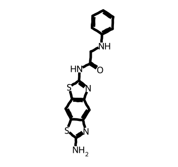 Nc1nc2cc3nc(NC(=O)CNc4ccccc4)sc3cc2s1